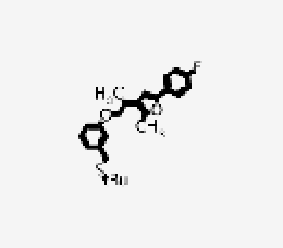 Cc1oc(-c2ccc(F)cc2)cc1C(C)COc1cccc(CSC(C)(C)C)c1